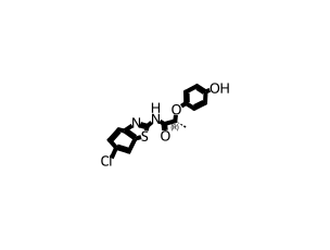 C[C@@H](Oc1ccc(O)cc1)C(=O)Nc1nc2ccc(Cl)cc2s1